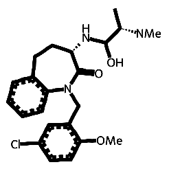 CN[C@@H](C)C(O)N[C@H]1CCc2ccccc2N(Cc2cc(Cl)ccc2OC)C1=O